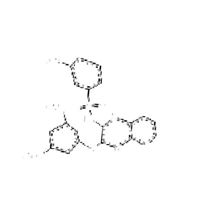 COc1cc(Nc2nc3ncccc3nc2NS(=O)(=O)c2cccc([N+](=O)[O-])c2)cc(OC)c1